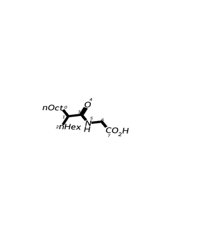 CCCCCCCCC(CCCCCC)C(=O)NCC(=O)O